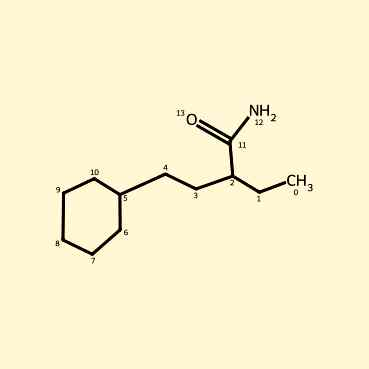 CCC(CCC1CCCCC1)C(N)=O